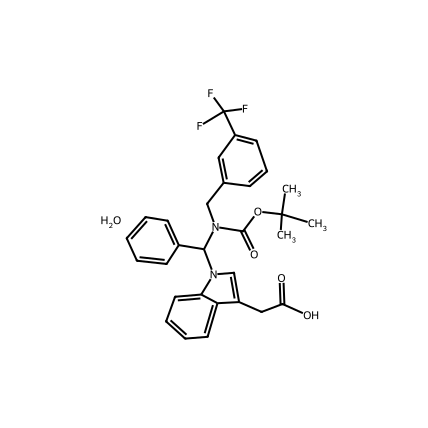 CC(C)(C)OC(=O)N(Cc1cccc(C(F)(F)F)c1)C(c1ccccc1)n1cc(CC(=O)O)c2ccccc21.O